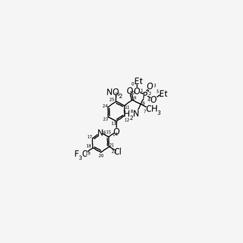 CCOP(=O)(OCC)C(C)(N)C(=O)c1cc(Oc2ncc(C(F)(F)F)cc2Cl)ccc1[N+](=O)[O-]